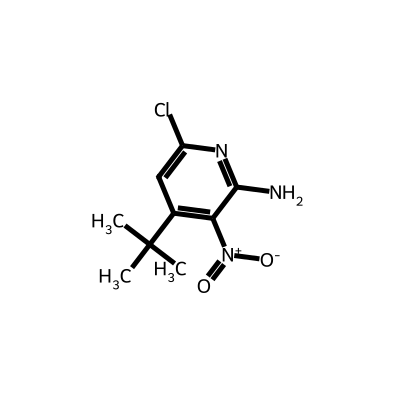 CC(C)(C)c1cc(Cl)nc(N)c1[N+](=O)[O-]